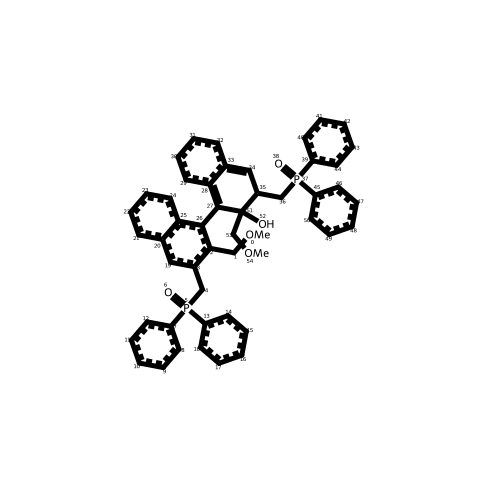 COCc1c(CP(=O)(c2ccccc2)c2ccccc2)cc2ccccc2c1C1=c2ccccc2=CC(CP(=O)(c2ccccc2)c2ccccc2)C1(O)COC